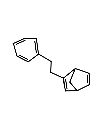 C1=CC2CC1C=C2CCc1ccccc1